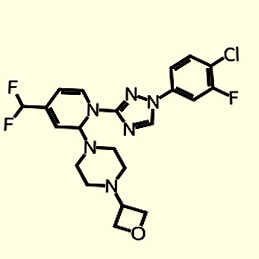 Fc1cc(-n2cnc(N3C=CC(C(F)F)=CC3N3CCN(C4COC4)CC3)n2)ccc1Cl